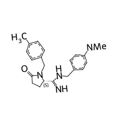 CNc1ccc(CNC(=N)[C@@H]2CCC(=O)N2Cc2ccc(C)cc2)cc1